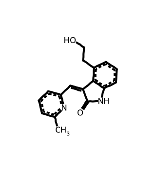 Cc1cccc(C=C2C(=O)Nc3cccc(CCO)c32)n1